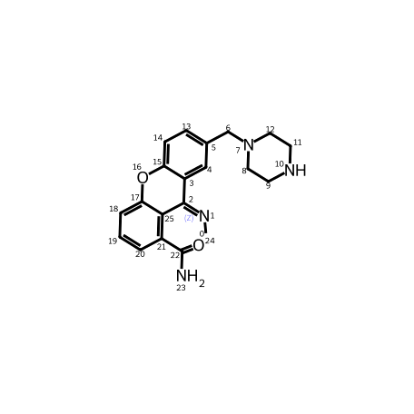 C/N=c1/c2cc(CN3CCNCC3)ccc2oc2cccc(C(N)=O)c12